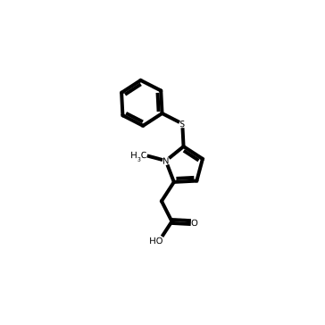 Cn1c(CC(=O)O)ccc1Sc1ccccc1